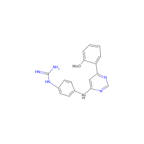 COc1ccccc1-c1cc([AsH]c2ccc(NC(=N)N)cc2)ncn1